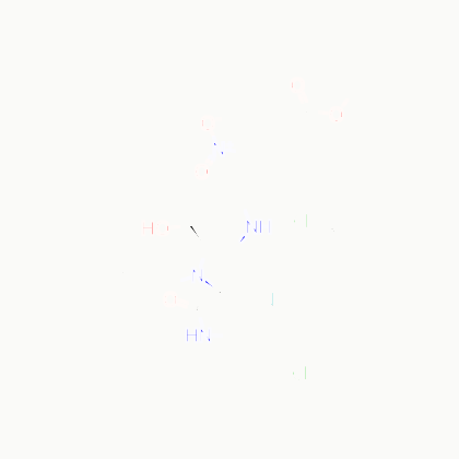 C=C(Cl)/C=C\C=C(/F)[C@H]1[C@H](NCc2ccc(C(=O)OC)cc2[N+](=O)[O-])[C@H](CO)N(CCC(C)C)[C@@]12C(=O)Nc1cc(Cl)ccc12